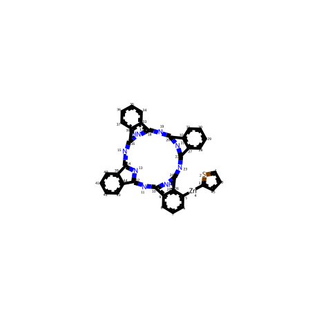 c1cs[c]([Zn][c]2cccc3c4nc5nc(nc6[nH]c(nc7nc(nc([nH]4)c23)-c2ccccc2-7)c2ccccc62)-c2ccccc2-5)c1